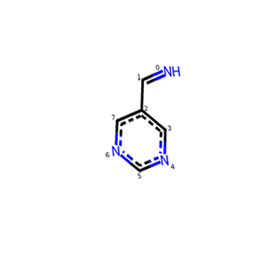 N=[C]c1cncnc1